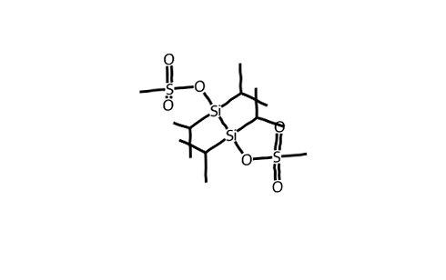 CC(C)[Si](OS(C)(=O)=O)(C(C)C)[Si](OS(C)(=O)=O)(C(C)C)C(C)C